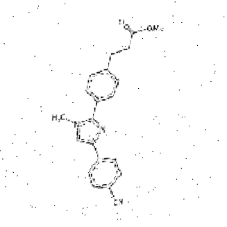 COC(=O)CCc1ccc(-c2nc(-c3ccc(C#N)cc3)cn2C)cc1